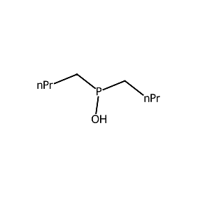 CCCCP(O)CCCC